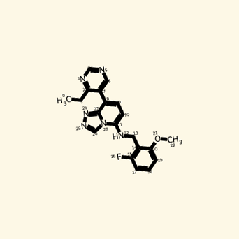 CCc1ncncc1-c1ccc(NCc2c(F)cccc2OC)n2cnnc12